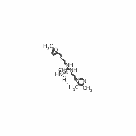 CNC.Cc1ccc(CSCCNC(=S)NCCCn2cnc(C)c2C)o1